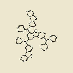 c1ccc(N(c2ccccc2)c2ccc3oc4c(N(c5ccccc5)c5ccc6sc7ccccc7c6c5)cc(N(c5ccccc5)c5ccc6sc7ccccc7c6c5)cc4c3c2)cc1